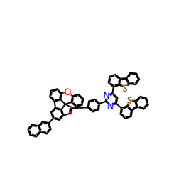 c1ccc2c(c1)Oc1cccc3c1C21c2cc(-c4ccc(-c5nc(-c6cccc7c6sc6ccccc67)cc(-c6cccc7c6sc6ccccc67)n5)cc4)ccc2-c2cc(-c4ccc5ccccc5c4)cc-3c21